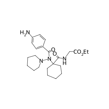 CCOC(=O)CNC(=O)C1(N(C(=O)c2ccc(N)cc2)N2CCCCC2)CCCCC1